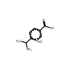 CC(N)c1ccc(C(=O)O)cn1.Cl